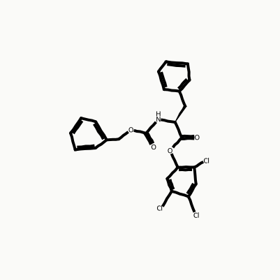 O=C(N[C@@H](Cc1ccccc1)C(=O)Oc1cc(Cl)c(Cl)cc1Cl)OCc1ccccc1